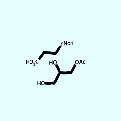 CC(=O)OCC(O)CO.CCCCCCCCCCCC(=O)O